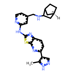 Cc1[nH]ncc1-c1ccc2nc(Nc3cc(CNC4C[C@@H]5CCC4C5)ccn3)sc2n1